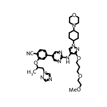 COCCOCCCOc1nn(C2CCC(N3CCOCC3)CC2)cc1Nc1ncc(-c2ccc(C#N)c(OC(C)Cn3cncn3)c2)cn1